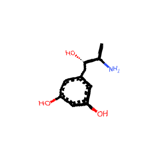 CC(N)[C@@H](O)c1cc(O)cc(O)c1